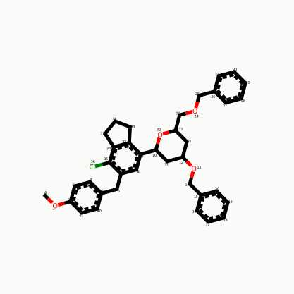 COc1ccc(Cc2cc(C3CC(OCc4ccccc4)CC(COCc4ccccc4)O3)c3c(c2Cl)CCC3)cc1